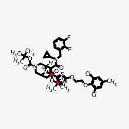 Cc1cc(Cl)c(OCCOc2ncc(C3=C(C(=O)N(Cc4cccc(F)c4F)C4CC4)[C@H]4CN(C(=O)OC(C)(C)C)CC(C3)N4C(=O)OC(C)(C)C)s2)c(Cl)c1